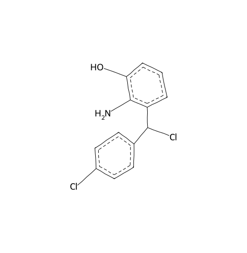 Nc1c(O)cccc1C(Cl)c1ccc(Cl)cc1